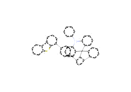 c1ccc(N2c3ccccc3C3(c4ccccc4-c4cccc(-c5ccc(-c6cccc7c6sc6ccccc67)cc5)c43)c3ccccc32)cc1